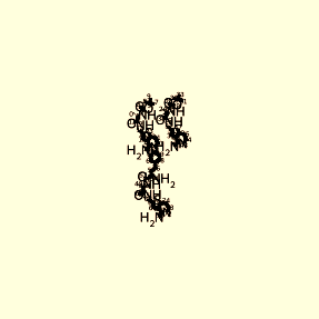 C[C@H](NC(=O)OC(C)(C)C)C(=O)NCc1cc2c(N)nccc2s1.C[C@H](NC(=O)OC(C)(C)C)C(=O)NCc1cc2c(N)nccc2s1.C[C@H](NC(=O)[C@H](N)CCc1ccccc1)C(=O)NCc1cc2c(N)nccc2s1